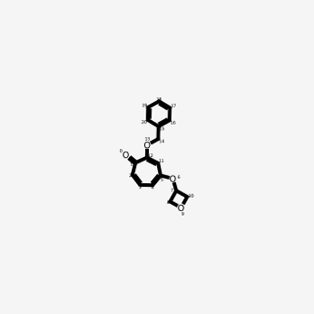 O=c1cccc(OC2COC2)cc1OCc1ccccc1